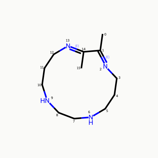 CC1=N\CCCNCCNCCC\N=C\1C